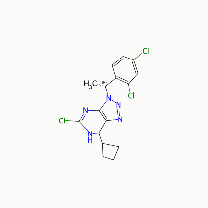 C[C@H](c1ccc(Cl)cc1Cl)n1nnc2c1N=C(Cl)NC2C1CCC1